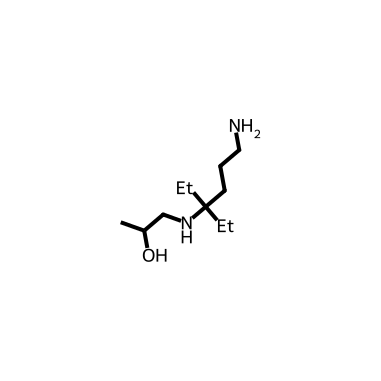 CCC(CC)(CCCN)NCC(C)O